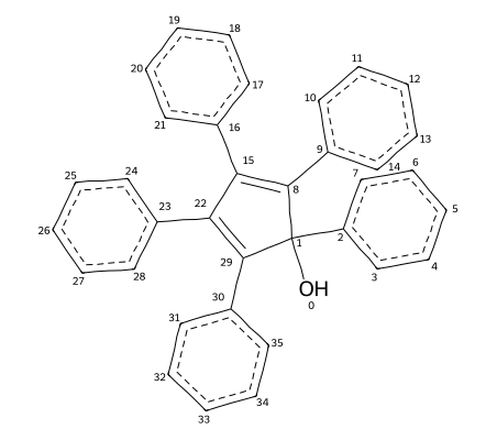 OC1(c2ccccc2)C(c2ccccc2)=C(c2ccccc2)C(c2ccccc2)=C1c1ccccc1